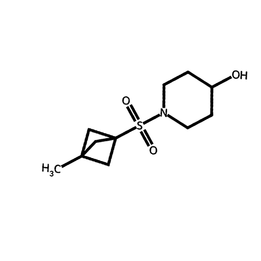 CC12CC(S(=O)(=O)N3CCC(O)CC3)(C1)C2